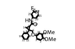 COc1ccc(OCC2(c3ccccc3)CC2C(=O)Nc2ccnc(F)c2)cc1OC